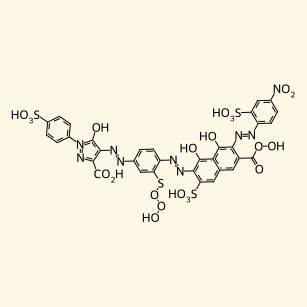 O=C(OO)c1cc2cc(S(=O)(=O)O)c(N=Nc3ccc(N=Nc4c(C(=O)O)nn(-c5ccc(S(=O)(=O)O)cc5)c4O)cc3SOOO)c(O)c2c(O)c1N=Nc1ccc([N+](=O)[O-])cc1S(=O)(=O)O